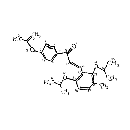 C=C(C)Oc1ccc(C(=O)C=Cc2c(OC(C)C)ccc(C)c2OC(C)C)cc1